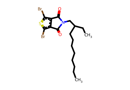 CCCCCCCCC(CC)CN1C(=O)c2c(Br)sc(Br)c2C1=O